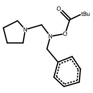 CC(C)(C)C(=O)ON(Cc1ccccc1)CN1CCCC1